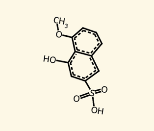 COc1cccc2cc(S(=O)(=O)O)cc(O)c12